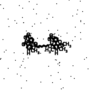 COC(=O)C1=C(C)NC(C)=C(C(=O)OCCCCCCC(=O)OC2(C)C(C)NC=C([N+](=O)[O-])C2c2cccc([N+](=O)[O-])c2)C1c1cccc([N+](=O)[O-])c1